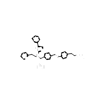 Cl.Cl.O=C(O)CCc1ccc(NCc2ccc(CN(CCc3ccccc3)c3nc(-c4ccccc4)cs3)cc2)cc1